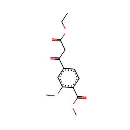 CCOC(=O)CC(=O)c1ccc(C(=O)OC)c(OC)c1